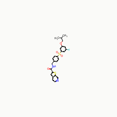 CC(C)COc1cc(F)cc(S(=O)(=O)c2ccc(CNC(=O)c3cc4ccncc4s3)cc2)c1